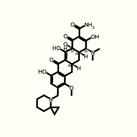 COc1c(CN2CCCCC23CC3)cc(O)c2c1C[C@H]1C[C@H]3[C@H](N(C)C)C(O)=C(C(N)=O)C(=O)[C@@]3(O)C(O)=C1C2=O